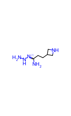 NN/N=C(\N)CCC1CNC1